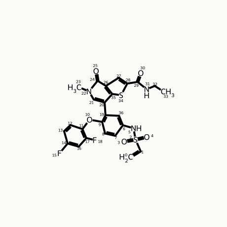 C=CS(=O)(=O)Nc1ccc(Oc2ccc(F)cc2F)c(-c2cn(C)c(=O)c3cc(C(=O)NCC)sc23)c1